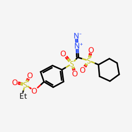 CCS(=O)(=O)Oc1ccc(S(=O)(=O)C(=[N+]=[N-])S(=O)(=O)C2CCCCC2)cc1